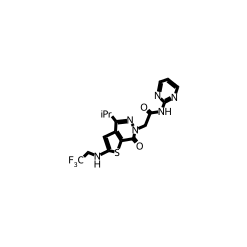 CC(C)c1nn(CC(=O)Nc2ncccn2)c(=O)c2sc(NCC(F)(F)F)cc12